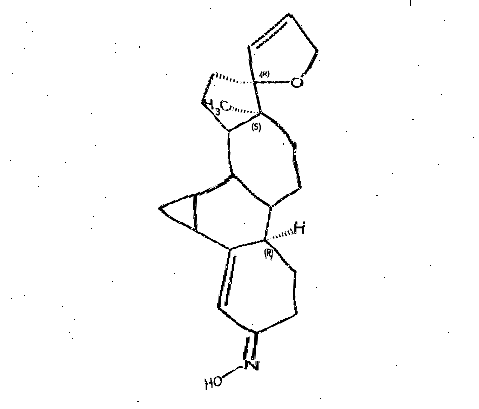 C[C@]12CCC3C(C4CC4C4=CC(=NO)CC[C@@H]43)C1CC[C@@]21C=CCO1